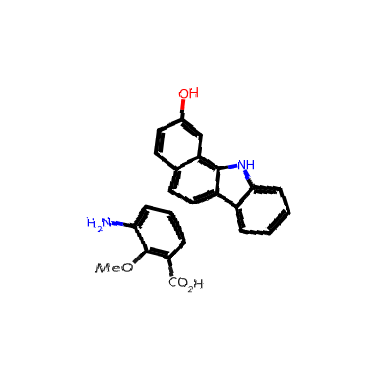 COc1c(N)cccc1C(=O)O.Oc1ccc2ccc3c4ccccc4[nH]c3c2c1